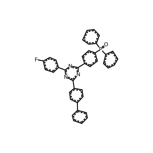 O=P(c1ccccc1)(c1ccccc1)c1ccc(-c2nc(-c3ccc(F)cc3)nc(-c3ccc(-c4ccccc4)cc3)n2)cc1